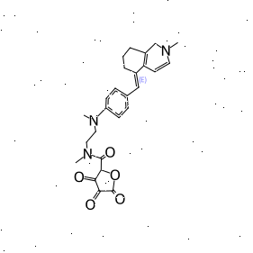 CN1C=CC2=C(CCC/C2=C\c2ccc(N(C)CCN(C)C(=O)C3OC(=O)C(=O)C3=O)cc2)C1